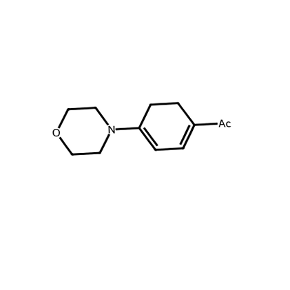 CC(=O)C1=CC=C(N2CCOCC2)CC1